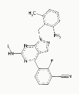 Cc1cccc(P)c1Cn1ncc2c(-c3cccc(C#N)c3F)nc(NI)nc21